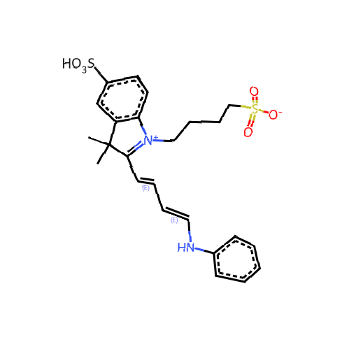 CC1(C)C(/C=C/C=C/Nc2ccccc2)=[N+](CCCCS(=O)(=O)[O-])c2ccc(S(=O)(=O)O)cc21